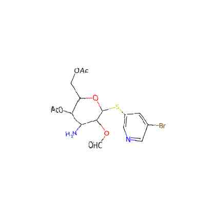 CC(=O)OCC1OC(Sc2cncc(Br)c2)C(OC=O)C(N)C1OC(C)=O